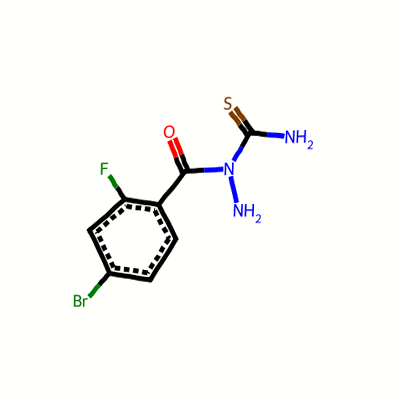 NC(=S)N(N)C(=O)c1ccc(Br)cc1F